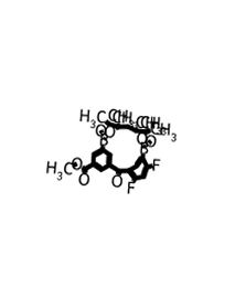 COC(=O)c1cc2cc(c1)C(=O)c1cc(c(F)cc1F)B1OC(C)(C)C(C)(CC3(C)OB2OC3(C)C)O1